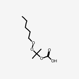 CCCCCOOC(C)(C)OC(=O)O